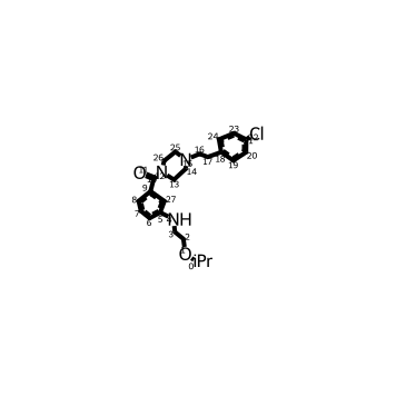 CC(C)OCCNc1cccc(C(=O)N2CCN(CCc3ccc(Cl)cc3)CC2)c1